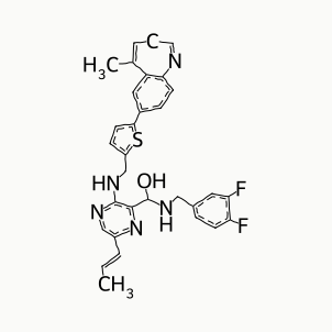 C/C=C/c1cnc(NCc2ccc(-c3ccc4c(c3)C(C)=CCC=N4)s2)c(C(O)NCc2ccc(F)c(F)c2)n1